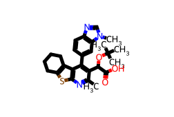 Cc1nc2sc3c(c2c(-c2ccc4ncn(C)c4c2)c1C(OC(C)(C)C)C(=O)O)CCCC3